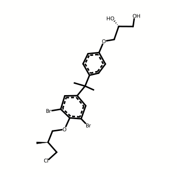 C[C@H](CCl)COc1c(Br)cc(C(C)(C)c2ccc(OC[C@H](O)CO)cc2)cc1Br